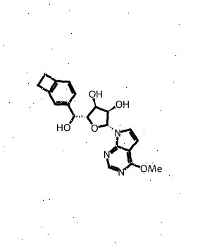 COc1ncnc2c1ccn2[C@@H]1O[C@H](C(O)c2ccc3c(c2)CC3)[C@@H](O)[C@H]1O